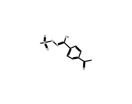 N#CC(=NOS(=O)(=O)I)c1ccc(C(=O)I)cc1